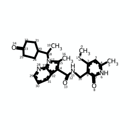 CSc1cc(C)[nH]c(=O)c1CNC(=O)c1c(C)n(C(C)C2CCC(=O)CC2)c2ncccc12